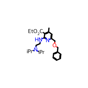 CCOC(=O)c1c(C)cc(COCc2ccccc2)nc1NCCN(C(C)C)C(C)C